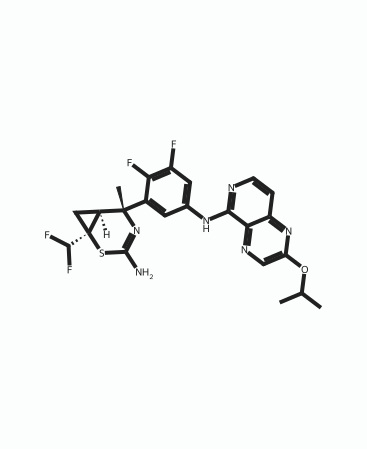 CC(C)Oc1cnc2c(Nc3cc(F)c(F)c([C@]4(C)N=C(N)S[C@@]5(C(F)F)C[C@@H]45)c3)nccc2n1